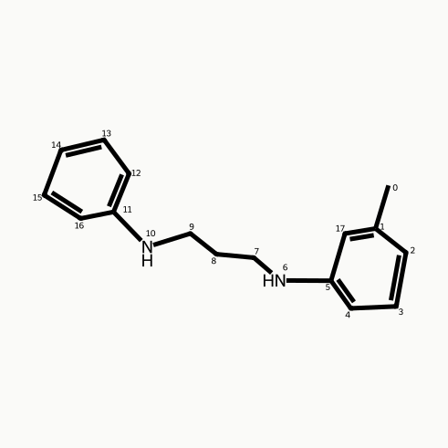 Cc1cccc(NCCCNc2ccccc2)c1